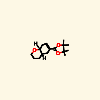 CC1(C)OB(C2=CC[C@H]3OCCC[C@H]3C2)OC1(C)C